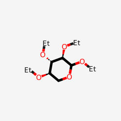 CCOC1OC[C@@H](OCC)[C@H](OCC)[C@H]1OCC